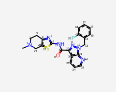 CN1CCc2nc(NC(=O)c3nn(Cc4ccccc4F)c4ncccc34)sc2C1